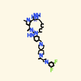 C=C1/N=C2\Nc3ccc(CN4CCC5(CC4)CCN(C(=C)C4CN(c6cc(F)cc(F)c6)C4)CC5)cc3N2CCCCCC/C(NC)=C(/C=N)c2cc1cc(C)n2